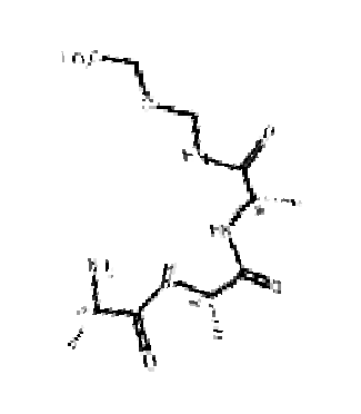 C[C@H](N)C(=O)N[C@@H](C)C(=O)N[C@@H](C)C(=O)NCOCC(=O)O